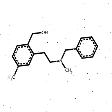 Cc1ccc(CO)c(CCN(C)Cc2ccccc2)c1